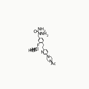 CC(=O)N1CCN(c2ccc(CCc3ccc(CN(N)C(N)=O)cc3F)nc2)CC1.Cl.Cl.Cl